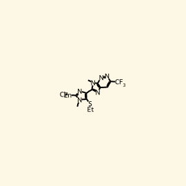 CCSc1c(-c2nc3cc(C(F)(F)F)nnc3n2C)n[c]([Zn][Cl])n1C